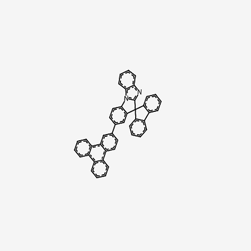 c1ccc2c(c1)-c1ccccc1C21c2cc(-c3ccc4c5ccccc5c5ccccc5c4c3)ccc2-n2c1nc1ccccc12